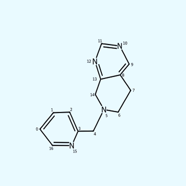 c1ccc(CN2CCc3cncnc3C2)nc1